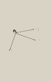 CCCCCCCCCCCCCCCCCCC(CCCCCCCCCCCCCCCC)(CCCCCCCCCCCCCCCC)[n+]1ccccc1